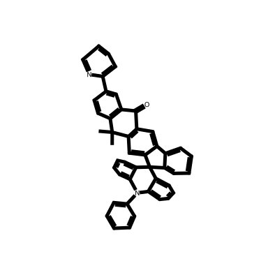 CC1(C)c2ccc(-c3ccccn3)cc2C(=O)c2cc3c(cc21)C1(c2ccccc2-3)c2ccccc2N(c2ccccc2)c2ccccc21